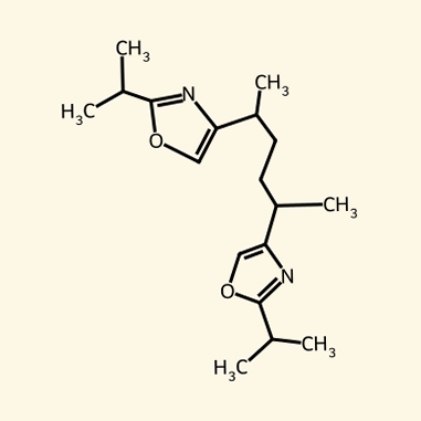 CC(C)c1nc(C(C)CCC(C)c2coc(C(C)C)n2)co1